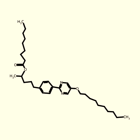 CCCCCCCCCCOc1cnc(-c2ccc(CCCC(C)OC(=O)CCCCCCCC)cc2)nc1